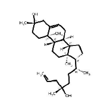 C=CC[C@@](C)(O)CC[C@@H](C)[C@H]1CC[C@H]2[C@@H]3CC=C4C[C@@](C)(O)CC[C@]4(C)[C@H]3CC[C@]12C